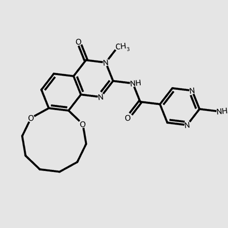 Cn1c(NC(=O)c2cnc(N)nc2)nc2c3c(ccc2c1=O)OCCCCCCO3